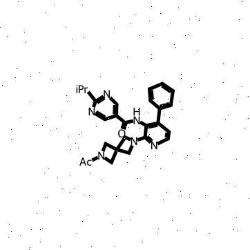 CC(=O)N1CC2(C1)CN(c1nccc(-c3ccccc3)c1NC(=O)c1cnc(C(C)C)nc1)C2